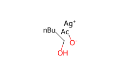 CC(=O)[O-].CCCCCO.[Ag+]